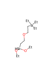 CCO[SiH](CCOCC[Si](CC)(CC)CC)OCC